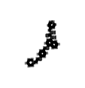 O=C(NCc1ccncc1)Nc1ccc(OCc2ccc(OCCN3CCCCC3)cc2)c2ccccc12